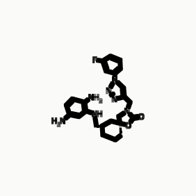 Nc1ccc(N)c(NC[C@H]2CCC[C@]3(C2)CN(Cc2cn(-c4cccc(F)c4)nn2)C(=O)O3)c1